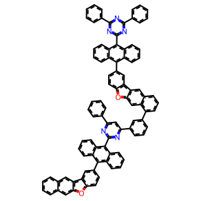 c1ccc(-c2cc(-c3cccc(-c4cccc5cc6c(cc45)oc4ccc(-c5c7ccccc7c(-c7nc(-c8ccccc8)nc(-c8ccccc8)n7)c7ccccc57)cc46)c3)nc(-c3c4ccccc4c(-c4ccc5oc6cc7ccccc7cc6c5c4)c4ccccc34)n2)cc1